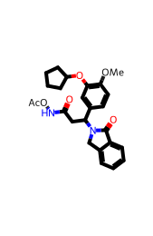 COc1ccc(C(CC(=O)NOC(C)=O)N2Cc3ccccc3C2=O)cc1OC1CCCC1